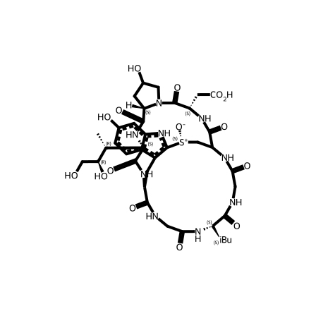 CC[C@H](C)[C@@H]1NC(=O)CNC(=O)C2Cc3c([nH]c4cc(O)ccc34)[S@+]([O-])CC(NC(=O)CNC1=O)C(=O)N[C@@H](CC(=O)O)C(=O)N1CC(O)C[C@H]1C(=O)N[C@@H]([C@@H](C)[C@@H](O)CO)C(=O)N2